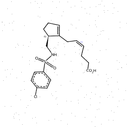 O=C(O)CC/C=C\CC1=CCC[C@@H]1CNS(=O)(=O)c1ccc(Cl)cc1